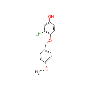 COc1ccc(COc2ccc(O)cc2Cl)cc1